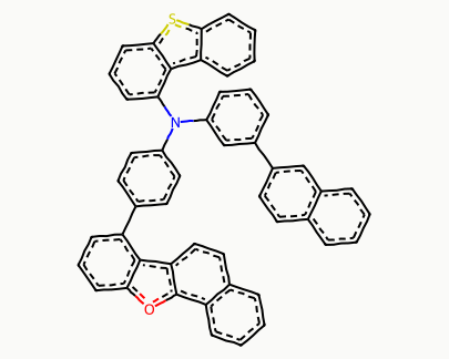 c1cc(-c2ccc3ccccc3c2)cc(N(c2ccc(-c3cccc4oc5c6ccccc6ccc5c34)cc2)c2cccc3sc4ccccc4c23)c1